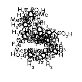 COc1c(C)c(OC(=O)c2c(C)c(C)c(OC(=O)c3c(C)cc(O)c(C)c3OC(=O)c3c(C)c(-c4cc(CC(N)C(=O)O)ccc4Oc4ccc(CC(N)C(=O)O)cc4-c4c(C)c(C(=O)Oc5c(C)c(OC(=O)C(F)(F)F)cc(C)c5C(=O)Oc5c(C)c(C)c(C(=O)Oc6c(C)c(C)c(C(=O)O)c(OC)c6C)c(OC)c5C)c(OC)c(C)c4OC)c(OC)c(C)c3OC)c(C)c2OC)c(C)c(C)c1C(=O)O